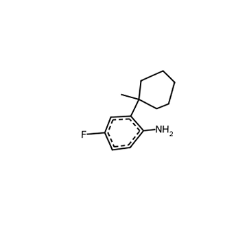 CC1(c2cc(F)ccc2N)CCCCC1